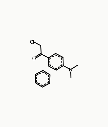 CN(C)c1ccc(C(=O)CCl)cc1.c1ccccc1